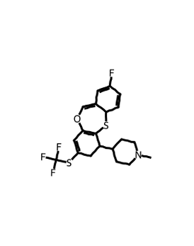 CN1CCC(C2CC(SC(F)(F)F)=CC3=C2SC2C=CC(F)=CC2=CO3)CC1